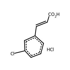 Cl.O=C(O)C=Cc1cccc(Cl)c1